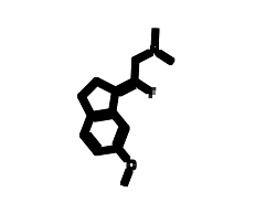 COc1ccc2c(c1)/C(=C(\F)CN(C)C)CC2